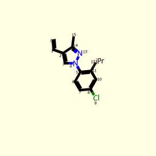 C=Cc1cn(-c2ccc(Cl)cc2C(C)C)nc1C